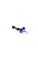 Nc1ncnc2c1c(-c1ccccc1)cn2-c1ccc(OCc2ccccc2)cc1